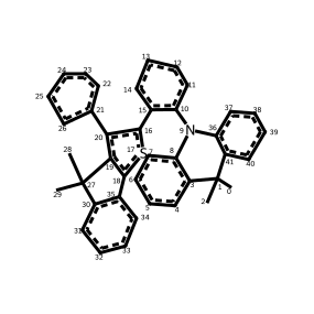 CC1(C)c2ccccc2N(c2ccccc2-c2sc3c(c2-c2ccccc2)C(C)(C)c2ccccc2-3)c2ccccc21